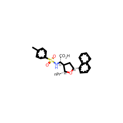 CCC[C@H]1O[C@@H](c2cccc3ccccc23)CC1[C@H](NS(=O)(=O)c1ccc(C)cc1)C(=O)O